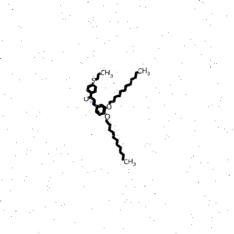 CCCCCCCCCCCCOc1ccc(/C=C/C(=O)c2ccc(SCCC)cc2)cc1OCCCCCCCCCCCC